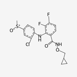 C[S+]([O-])c1ccc(Nc2c(C(=O)NOCC3CC3)ccc(F)c2F)c(Cl)c1